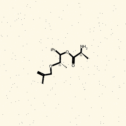 C=C(C)CO[C@@H](C)C(OC(=O)[C@H](C)N)C(C)C